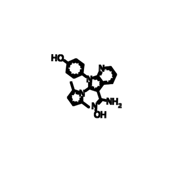 Cc1ccc(C)n1-c1c(/C(N)=N/O)c2cccnc2n1-c1ccc(O)cc1